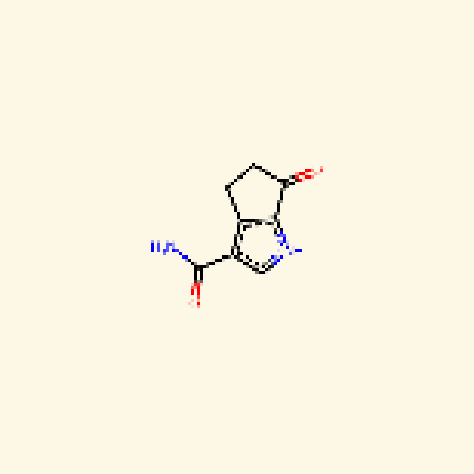 NC(=O)c1c[nH]c2c1CCC2=O